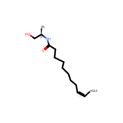 CCCCCCCC/C=C\CCCCCCCC(=O)N[C@@H](CO)C(C)C